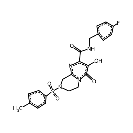 Cc1ccc(S(=O)(=O)N2CCn3c(nc(C(=O)NCc4ccc(F)cc4)c(O)c3=O)C2)cc1